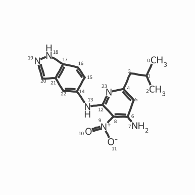 CC(C)Cc1cc(N)c([N+](=O)[O-])c(Nc2ccc3[nH]ncc3c2)n1